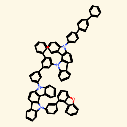 c1ccc(-c2ccc(-c3ccc(-n4c5ccccc5c5c4ccc4c6ccccc6n(-c6cc(-c7ccccc7)cc(-c7cccc(-n8c9ccccc9c9c8ccc8c%10ccccc%10n(-c%10cccc(-c%11cccc%12oc%13ccccc%13c%11%12)c%10)c89)c7)c6)c45)cc3)cc2)cc1